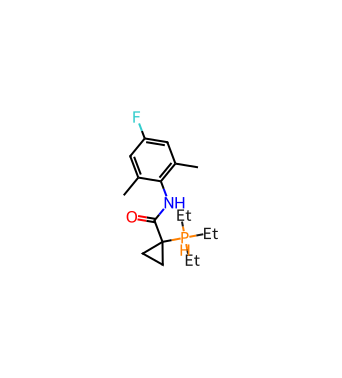 CC[PH](CC)(CC)C1(C(=O)Nc2c(C)cc(F)cc2C)CC1